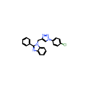 Clc1ccc(-n2cc(Cn3c(-c4ccccc4)nc4ccccc43)nn2)cc1